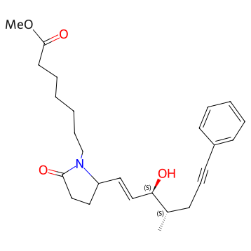 COC(=O)CCCCCCN1C(=O)CCC1C=C[C@@H](O)[C@@H](C)CC#Cc1ccccc1